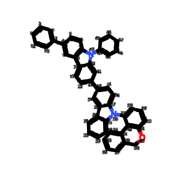 c1ccc(-c2ccc3c(c2)c2ccc(-c4ccc5c(c4)c4ccccc4n5-c4cccc5c4-c4ccccc4CO5)cc2n3-c2ccccc2)cc1